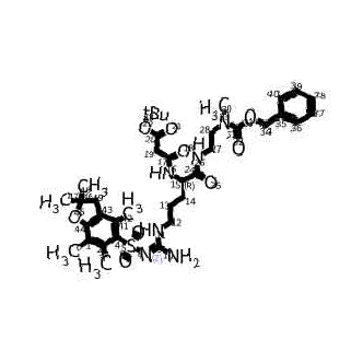 Cc1c(C)c(S(=O)(=O)/N=C(/N)NCCC[C@@H](NC(=O)CC(=O)OC(C)(C)C)C(=O)NCCN(C)C(=O)OCc2ccccc2)c(C)c2c1OC(C)(C)C2